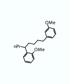 [CH2]CCC(CCCCc1cccc(OC)c1)c1ccccc1OC